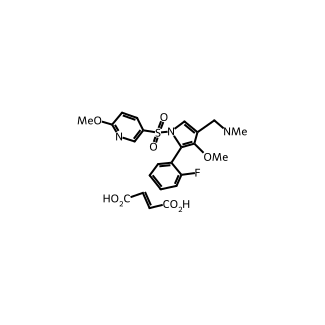 CNCc1cn(S(=O)(=O)c2ccc(OC)nc2)c(-c2ccccc2F)c1OC.O=C(O)/C=C/C(=O)O